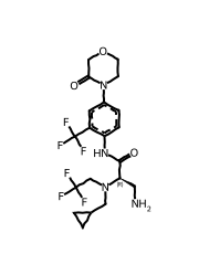 NC[C@H](C(=O)Nc1ccc(N2CCOCC2=O)cc1C(F)(F)F)N(CC1CC1)CC(F)(F)F